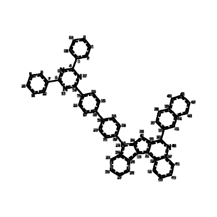 c1ccc(-c2nc(-c3ccccc3)nc(-c3ccc(-c4ccc(-n5c6ccccc6c6c7c(sc65)c(-c5ccc6ccccc6c5)nc5ccccc57)cc4)cc3)n2)cc1